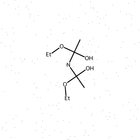 CCOC(C)(O)[N]C(C)(O)OCC